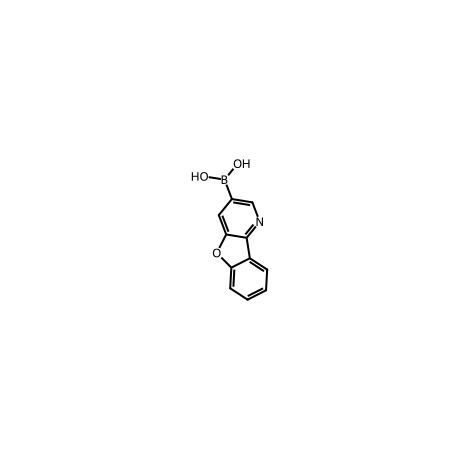 OB(O)c1cnc2c(c1)oc1ccccc12